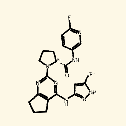 CC(C)c1cc(Nc2nc(N3CCC[C@@H]3C(=O)Nc3ccc(F)nc3)nc3c2CCC3)n[nH]1